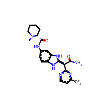 CN1CCCC[C@@H]1C(=O)Nc1ccc2c(c1)N/C(=C(\C(N)=O)c1nccc(C(F)(F)F)n1)N2